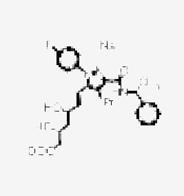 CC(C)c1c(C(=O)N[C@H](C)c2ccccc2)nn(-c2ccc(F)cc2)c1C=C[C@H](O)C[C@@H](O)CC(=O)[O-].[Na+]